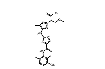 COCC(C(=O)O)n1cc(C)c(Nc2ncc(C(=O)Nc3c(C)ccc(O)c3C)s2)n1